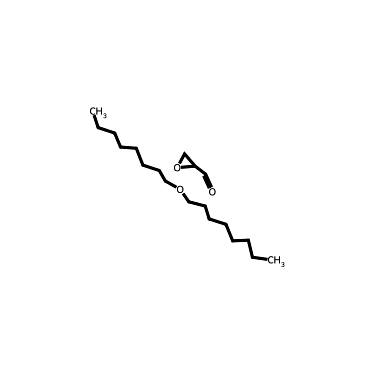 CCCCCCCCOCCCCCCCC.O=CC1CO1